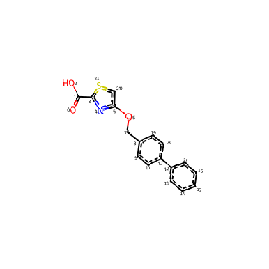 O=C(O)c1nc(OCc2ccc(-c3ccccc3)cc2)cs1